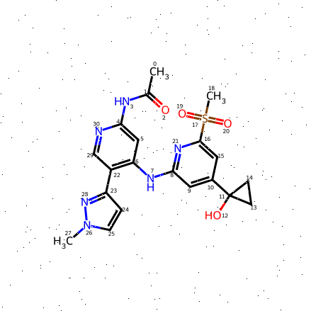 CC(=O)Nc1cc(Nc2cc(C3(O)CC3)cc(S(C)(=O)=O)n2)c(-c2ccn(C)n2)cn1